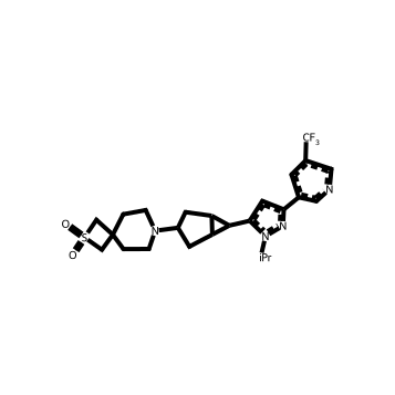 CC(C)n1nc(-c2cncc(C(F)(F)F)c2)cc1C1C2CC(N3CCC4(CC3)CS(=O)(=O)C4)CC21